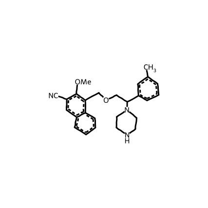 COc1c(C#N)cc2ccccc2c1COCC(c1cccc(C)c1)N1CCNCC1